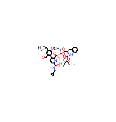 C=Cc1cc(C=O)c(-c2ccc(C(=O)NCC3CC3)nc2C(=O)OCOC(=O)[C@H](Cc2ccccc2)NC(=O)OC(C)(C)C)cc1OC